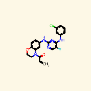 C=CC(=O)N1CCOc2ccc(Nc3ncc(F)c(Nc4cccc(Cl)c4)n3)cc21